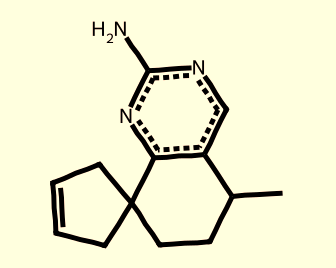 CC1CCC2(CC=CC2)c2nc(N)ncc21